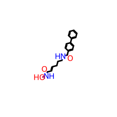 O=C(/C=C/CCCNC(=O)c1ccc(-c2ccccc2)cc1)NO